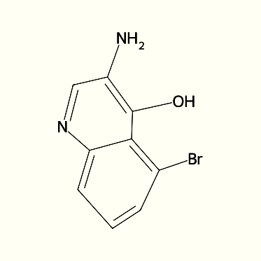 Nc1cnc2cccc(Br)c2c1O